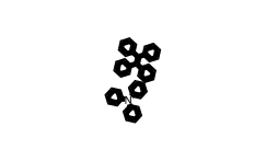 c1ccc(C(=C(c2ccccc2)c2ccccc2)c2ccccc2)cc1.c1ccc(N(c2ccccc2)c2ccccc2)cc1